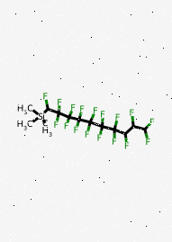 C[Si](C)(C)C(F)C(F)(F)C(F)(F)C(F)(F)C(F)(F)C(F)(F)C(F)(F)C(F)C(F)C(F)F